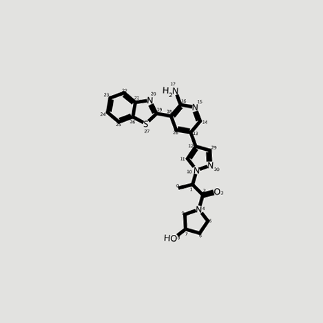 CC(C(=O)N1CCC(O)C1)n1cc(-c2cnc(N)c(-c3nc4ccccc4s3)c2)cn1